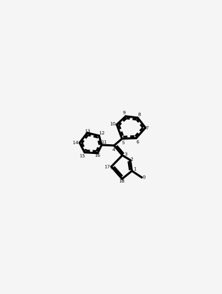 CC1=CC(=C(c2ccccc2)c2ccccc2)[C]=C1